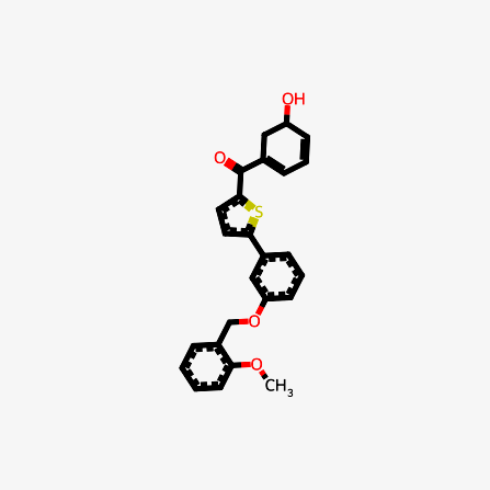 COc1ccccc1COc1cccc(-c2ccc(C(=O)C3=CC=CC(O)C3)s2)c1